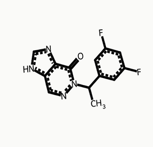 CC(c1cc(F)cc(F)c1)n1ncc2[nH]cnc2c1=O